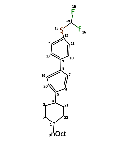 CCCCCCCCC1CCC(c2ccc(-c3ccc(SC(F)F)cc3)cc2)CC1